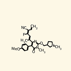 C=C/C(C#N)=C(F)\C=C(/C)c1nc(OCC2CCN(C)C2)n(C)c(=O)c1-c1ccc(OC)cc1